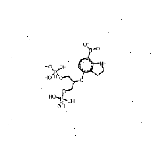 O=[N+]([O-])c1ccc(OC(CO[PH](O)(O)O)CO[PH](O)(O)O)c2c1NCC2